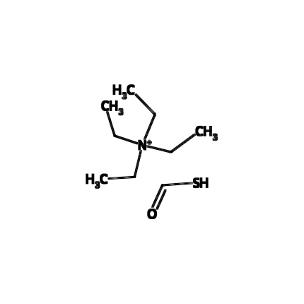 CC[N+](CC)(CC)CC.O=CS